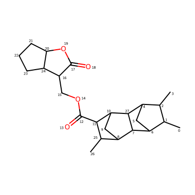 CC1C(C)C2CC1C1C3CC(C(C(=O)OCC4C(=O)OC5CCCC54)C3C)C21